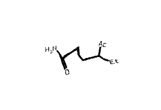 CCC(CCC(N)=O)C(C)=O